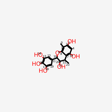 Cc1c(O)cc(O)c2c1OC(c1cc(O)c(O)c(O)c1)C(O)C2C